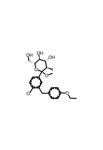 CCOc1ccc(Cc2cc([C@]3(OC)O[C@H](CO)[C@@H](O)[C@H](O)[C@H]3I)ccc2Cl)cc1